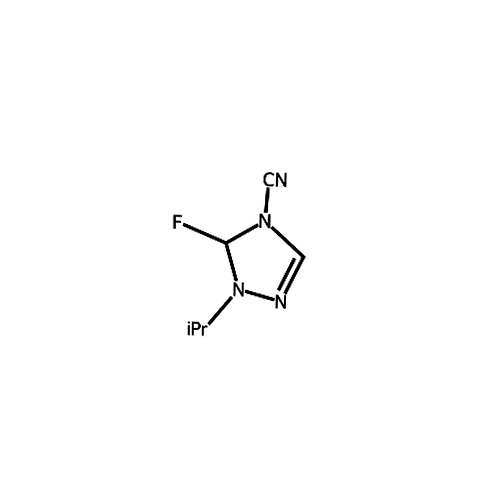 CC(C)N1N=CN(C#N)C1F